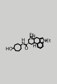 CCN1C[C@H](C(=O)NC2CCCC(O)CC2)C[C@@H]2c3cccc4c3c(cn4CC)C[C@H]21